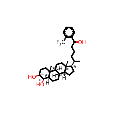 CC(CCCC(O)c1ccccc1C(F)(F)F)[C@H]1CC[C@H]2[C@@H]3CC[C@H]4[C@@H](O)[C@@H](O)CC[C@]4(C)[C@H]3CC[C@]12C